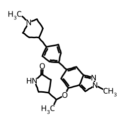 CC(Oc1cc(-c2ccc(C3CCN(C)CC3)cc2)cc2nn(C)cc12)C1CNC(=O)C1